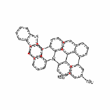 CC(C)(C)c1cc(-c2cccc3cccc(-c4ccccc4N(c4ccccc4-c4cccc5c4sc4ccccc45)c4cccc5ccccc45)c23)cc(C(C)(C)C)c1